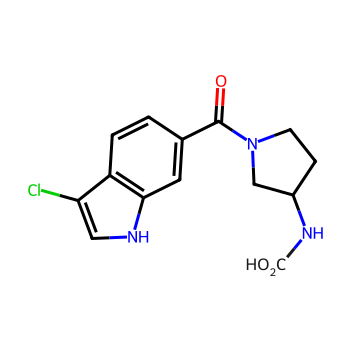 O=C(O)NC1CCN(C(=O)c2ccc3c(Cl)c[nH]c3c2)C1